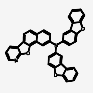 c1ccc2c(c1)oc1ccc(N(c3ccc4oc5ccccc5c4c3)c3ccc4ccc5c6cccnc6oc5c4c3)cc12